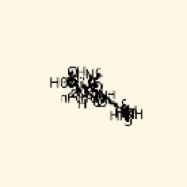 CCCCCC(=O)N(CCC(C=CN)(C(=O)CC=S)c1cn([C@H]2C[C@H](O)[C@@H](CO)O2)c(=O)[nH]c1=O)NC(=O)CCCC[C@@H]1SC[C@@H]2NC(=O)N[C@@H]21